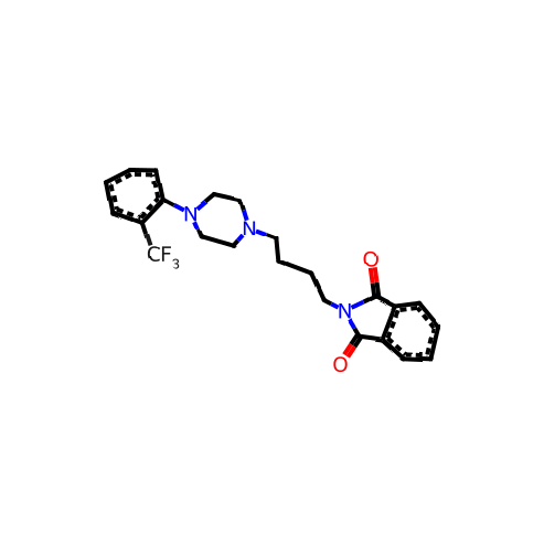 O=C1c2ccccc2C(=O)N1CCCCN1CCN(c2ccccc2C(F)(F)F)CC1